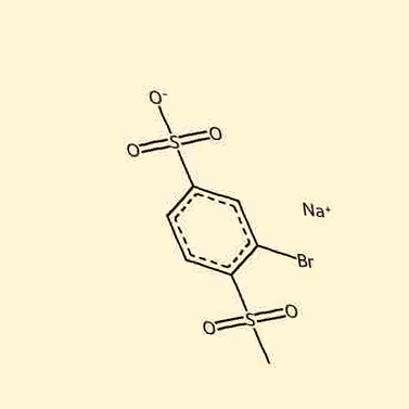 CS(=O)(=O)c1ccc(S(=O)(=O)[O-])cc1Br.[Na+]